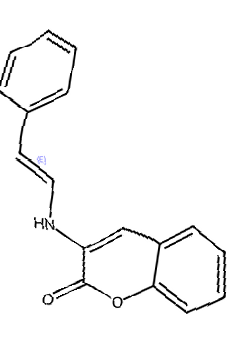 O=c1oc2ccccc2cc1N/C=C/c1ccccc1